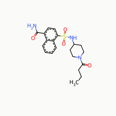 CCCC(=O)N1CCC(NS(=O)(=O)c2ccc(C(N)=O)c3ccccc23)CC1